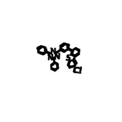 Clc1ccc2sc3c(-c4cccc(-c5nc(-c6ccccc6)nc(-c6ccccc6)n5)c4)cccc3c2c1